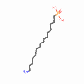 NCCCCCCCCCCCCCCCCP(=O)(O)O